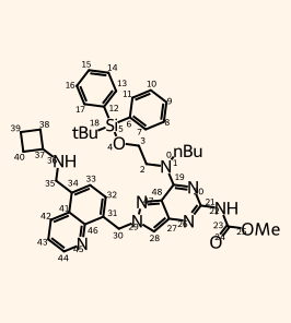 CCCCN(CCO[Si](c1ccccc1)(c1ccccc1)C(C)(C)C)c1nc(NC(=O)OC)nc2cn(Cc3ccc(CNC4CCC4)c4cccnc34)nc12